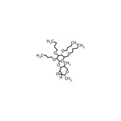 CCCCOCC1O[C@@H](O[C@@H]2C(C)CO[C@H](C)[C@@H]3OC23)[C@@H](OCCCC)C(OCCCC)[C@@H]1OCCCC